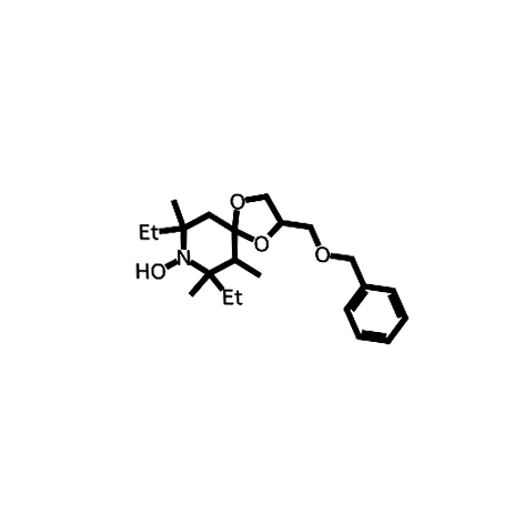 CCC1(C)CC2(OCC(COCc3ccccc3)O2)C(C)C(C)(CC)N1O